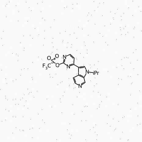 CC(C)n1cc(-c2ccnc(OS(=O)(=O)C(F)(F)F)n2)c2ccncc21